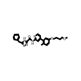 COCCCCOc1ccc(C)c(-c2ccnc(NC(=O)c3nnc(Cc4ccccc4)[nH]3)c2)c1